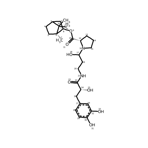 CC1(C)C2CC[C@]1(C)C(OC(=O)[C@@H]1CCCN1C(O)CCNC(=O)[C@H](O)Cc1ccc(O)c(O)c1)C2